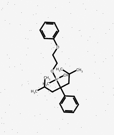 CC(C)CC(CC(C)C)(c1ccccc1)[N+](C)(C)OCCOc1ccccc1